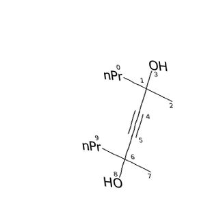 CCCC(C)(O)C#CC(C)(O)CCC